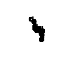 O=C(Nc1nnc(CCc2ccc(Cl)cc2)s1)C1CC(=O)N(c2ccc(CN3CCCCC3)cc2F)C1